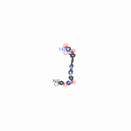 N#Cc1ccc(OC2CCN(C(=O)c3ccc(N4CCC(N5CC(C#Cc6ccc7c(c6)CN(C6CCC(=O)NC6=O)C7=O)C5)CC4)cc3)CC2)cc1Cl